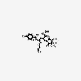 CCOCOCC(CC(CN1C(=O)N(C)C(C)(C)C1=O)C(=O)NO)NC(=O)c1ccc(Br)cc1